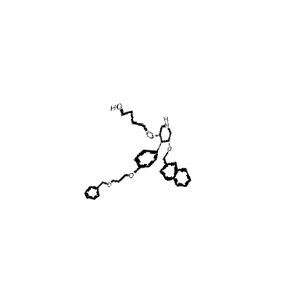 OCCCCO[C@@H]1CNC[C@H](OCc2ccc3ccccc3c2)[C@H]1c1ccc(OCCCOCc2ccccc2)cc1